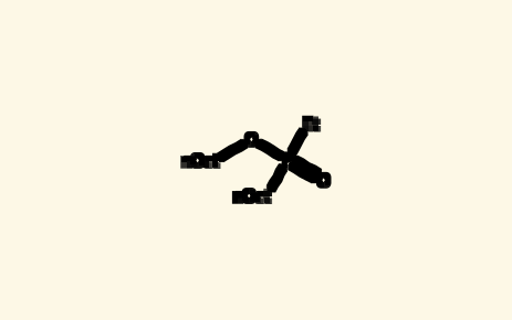 CCCCCCCCOP(=O)(CC)CCCCCCCC